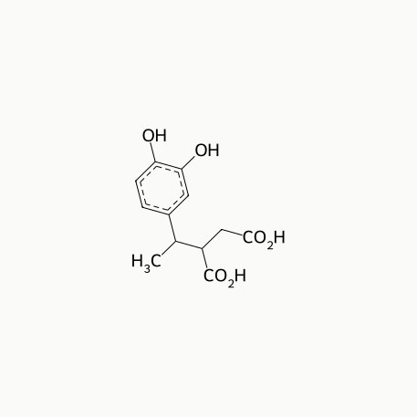 CC(c1ccc(O)c(O)c1)C(CC(=O)O)C(=O)O